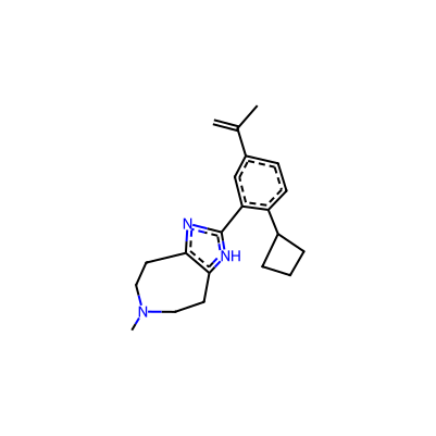 C=C(C)c1ccc(C2CCC2)c(-c2nc3c([nH]2)CCN(C)CC3)c1